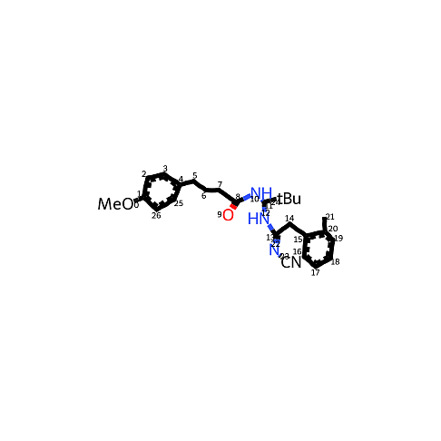 COc1ccc(CCCC(=O)NC(N/C(Cc2ccccc2C)=N/C#N)C(C)(C)C)cc1